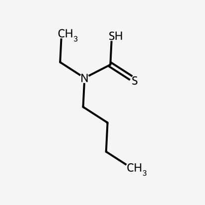 CCCCN(CC)C(=S)S